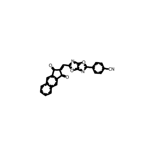 N#Cc1ccc(-c2nc3oc(C=C4C(=O)c5cc6ccccc6cc5C4=O)nc3o2)cc1